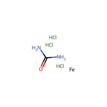 Cl.Cl.Cl.NC(N)=O.[Fe]